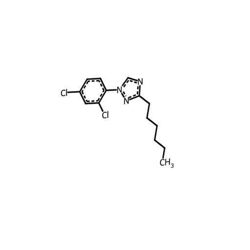 CCCCCCc1ncn(-c2ccc(Cl)cc2Cl)n1